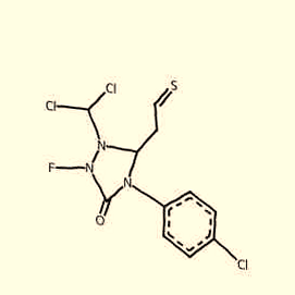 O=C1N(c2ccc(Cl)cc2)C(CC=S)N(C(Cl)Cl)N1F